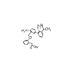 Cc1ccc(-c2cccc(C(C)N)c2F)cc1COc1ccccc1CC(=O)O